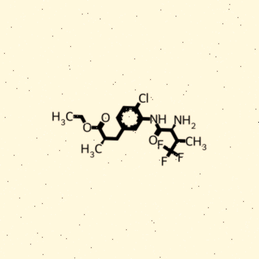 CCOC(=O)[C@H](C)Cc1ccc(Cl)c(NC(=O)[C@@H](N)C(C)C(F)(F)F)c1